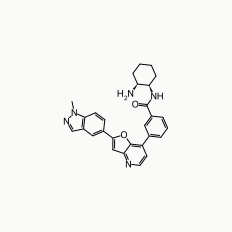 Cn1ncc2cc(-c3cc4nccc(-c5cccc(C(=O)N[C@@H]6CCCC[C@@H]6N)c5)c4o3)ccc21